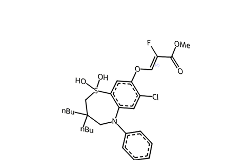 CCCCC1(CCCC)CN(c2ccccc2)c2cc(Cl)c(O/C=C(\F)C(=O)OC)cc2S(O)(O)C1